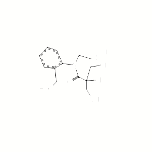 CCc1ccccc1N(COC)C(=O)C(Cl)(CC)CC